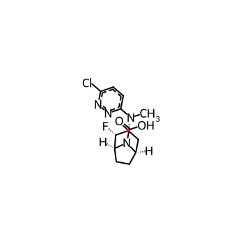 CN(c1ccc(Cl)nn1)[C@@H]1C[C@H]2CC[C@@H]([C@@H]1F)N2C(=O)O